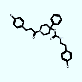 O=C(NCCc1ccc(Cl)cc1)OC1(c2ccccc2)CCN(C(=O)CCc2ccc(F)cc2)CC1